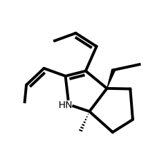 C/C=C\C1=C(/C=C\C)[C@]2(CC)CCC[C@@]2(C)N1